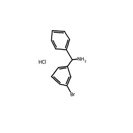 Cl.NC(c1ccccc1)c1cccc(Br)c1